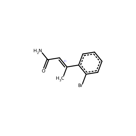 C/C(=C\C(N)=O)c1ccccc1Br